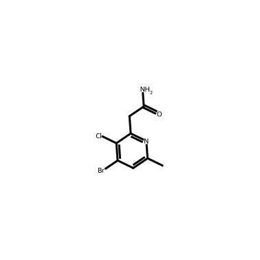 Cc1cc(Br)c(Cl)c(CC(N)=O)n1